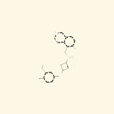 Cl.FCc1cc(OC2CC(NCc3c(F)ccc4cnccc34)C2)ccc1F